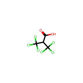 O=C(O)C(C(Cl)(Cl)Cl)C(Cl)(Cl)Cl